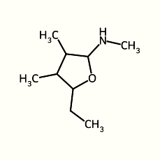 CCC1OC(NC)C(C)C1C